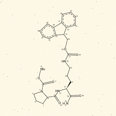 CC(C)(C)OC(=O)N1CCCC1C(=O)N[C@@H](CCCNC(=O)OCC1c2ccccc2-c2ccccc21)C(N)=O